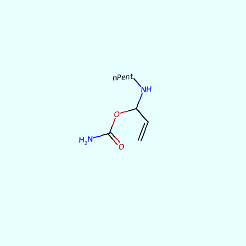 C=CC(NCCCCC)OC(N)=O